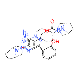 CCOC(=O)CN1C2CCC1CN(C1CCC(c3cnc(N4C5CCC4CN(c4cc(-c6ccccc6O)nnc4N)C5)nc3)CC1)C2